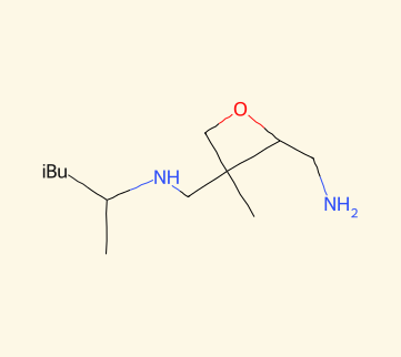 CCC(C)C(C)NCC1(C)COC1CN